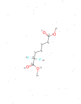 COC(=O)CCCCC(F)(F)C(=O)OC